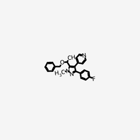 CC(OCc1ccccc1)c1c(-c2ccncc2)c(-c2ccc(F)cc2)nn1C